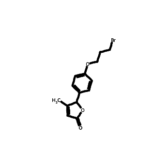 CC1=CC(=O)OC1c1ccc(OCCCBr)cc1